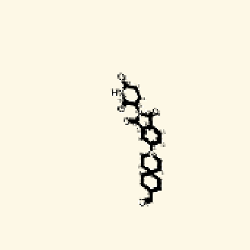 O=CC1CCC2(CC1)CCN(c1ccc3c(c1)C(=O)N(C1CCC(=O)NC1=O)C3=O)CC2